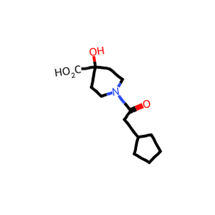 O=C(CC1CCCC1)N1CCC(O)(C(=O)O)CC1